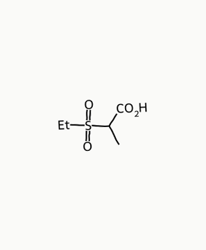 CCS(=O)(=O)C(C)C(=O)O